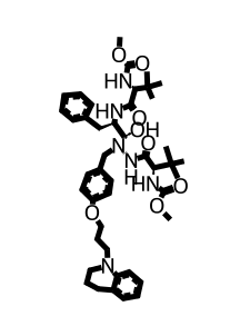 COC(=O)N[C@H](C(=O)NN(Cc1ccc(OCCCN2CCCc3ccccc32)cc1)[C@@H](O)[C@@H](Cc1ccccc1)NC(=O)[C@H](NC(=O)OC)C(C)(C)C)C(C)(C)C